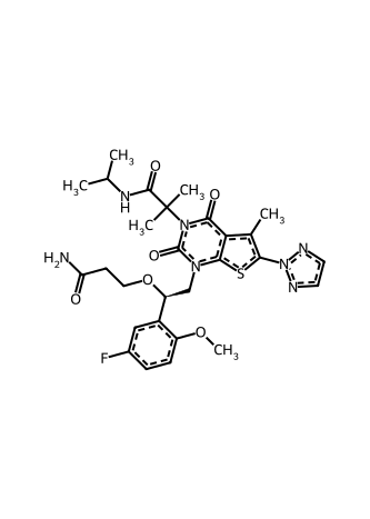 COc1ccc(F)cc1[C@H](Cn1c(=O)n(C(C)(C)C(=O)NC(C)C)c(=O)c2c(C)c(-n3nccn3)sc21)OCCC(N)=O